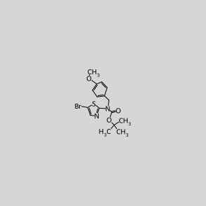 COc1ccc(CN(C(=O)OC(C)(C)C)c2ncc(Br)s2)cc1